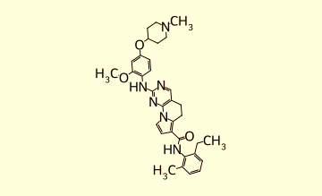 CCc1cccc(C)c1NC(=O)c1ccn2c1CCc1cnc(Nc3ccc(OC4CCN(C)CC4)cc3OC)nc1-2